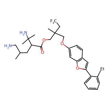 CCc1ccccc1-c1cc2ccc(OCC(C)(COC(=O)C(CC(C)CN)C(C)(C)N)CC(F)(F)F)cc2o1